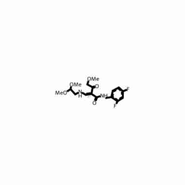 COCC(=O)/C(=C\NCC(OC)OC)C(=O)NCc1ccc(F)cc1F